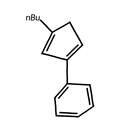 CCCCC1=CC(c2ccccc2)=CC1